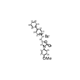 COc1ccc(N2CC(CC[n+]3ccc(-c4ccccc4)cc3)OC2=O)cc1.[Br-]